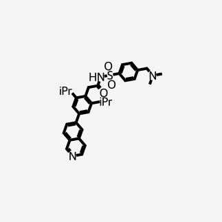 CC(C)c1cc(-c2ccc3cnccc3c2)cc(C(C)C)c1CC(=O)NS(=O)(=O)c1ccc(CN(C)C)cc1